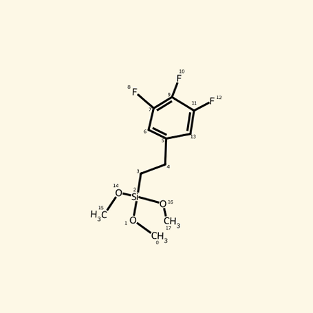 CO[Si](CCc1cc(F)c(F)c(F)c1)(OC)OC